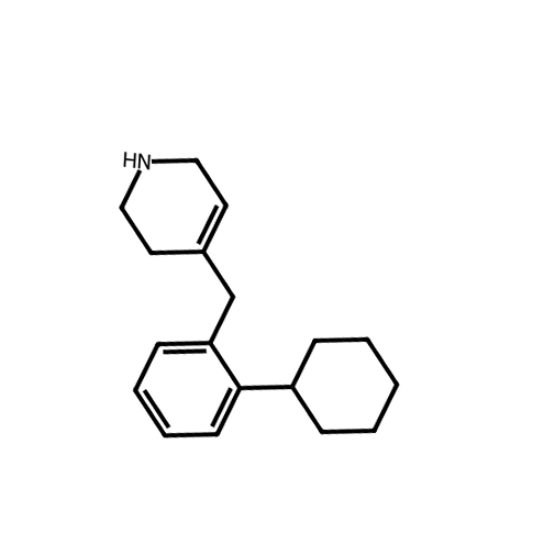 C1=C(Cc2ccccc2C2CCCCC2)CCNC1